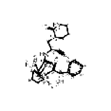 N#C[C@H](C[C@@H]1CCCNC1=O)NC(=O)[C@@H]1[C@@H]2CC[C@@H](CC2(F)F)N1C(=O)[C@@H](O)c1ccccc1